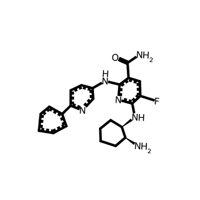 NC(=O)c1cc(F)c(N[C@@H]2CCCC[C@@H]2N)nc1Nc1ccc(-c2ccccc2)nc1